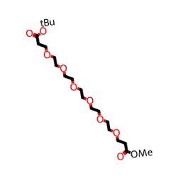 COC(=O)CCOCCOCCOCCOCCOCCOCCC(=O)OC(C)(C)C